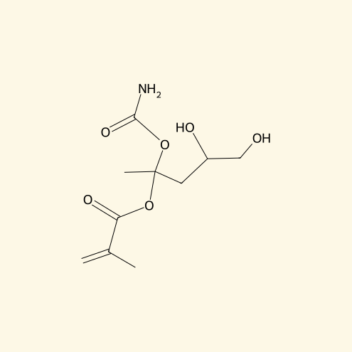 C=C(C)C(=O)OC(C)(CC(O)CO)OC(N)=O